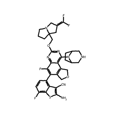 N#Cc1c(N)sc2c(F)ccc(-c3c4c(c5c(N6C7CCC6CNC7)nc(OCC67CCCN6CC(=C(F)F)C7)nc5c3F)COC4)c12